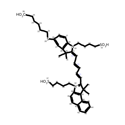 CC1(C)C(/C=C/C=C/C=C2/N(CCCCS(=O)(=O)O)c3ccc(SCCCCCC(=O)O)cc3C2(C)C)=[N+](CCCCS(=O)(=O)O)c2ccc3ccccc3c21